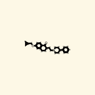 O=C1c2ccc(OCC3CC3)cc2CCC1CCN1CCC(c2ccccc2)CC1